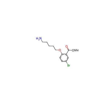 COC(=O)c1cc(Br)ccc1OCCCCCN